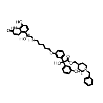 Cc1cccc(C(O)(C(=O)OCC2CCN(Cc3ccccc3)CC2)c2cccc(OCCCCCNC[C@H](O)c3ccc(O)c4[nH]c(=O)ccc34)c2)c1